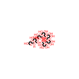 OCC1OCC(O)CC1OC1OC(CO)C(OC2OC(CO)C(OC3OC(CO)C(OC4OC(CO)C(OC5OC(CO)C(OC6OC(CO)C(O)C(O)C6O)C(O)C5O)C(O)C4O)C(O)C3O)C(O)C2O)C(O)C1O